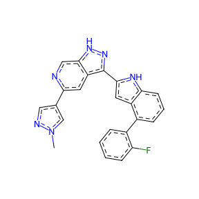 Cn1cc(-c2cc3c(-c4cc5c(-c6ccccc6F)cccc5[nH]4)n[nH]c3cn2)cn1